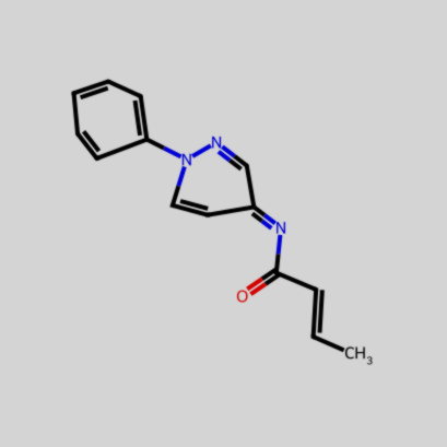 CC=CC(=O)N=c1ccn(-c2ccccc2)nc1